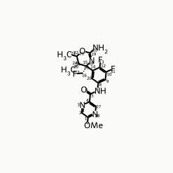 COc1cnc(C(=O)Nc2cc(F)c(F)c([C@]3(CF)N=C(N)OC(C)[C@H]3C)c2)cn1